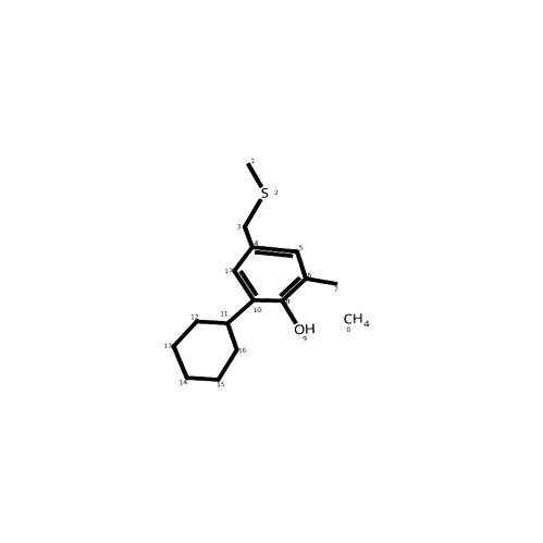 C.CSCc1cc(C)c(O)c(C2CCCCC2)c1